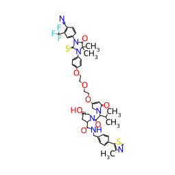 Cc1ncsc1-c1ccc(CNC(=O)C2C[C@@H](O)CN2C(=O)C(C(C)C)N2CC(OCCOCCOc3ccc(N4C(=S)N(c5ccc(C#N)c(C(F)(F)F)c5)C(=O)C4(C)C)cc3)=CC2=O)cc1